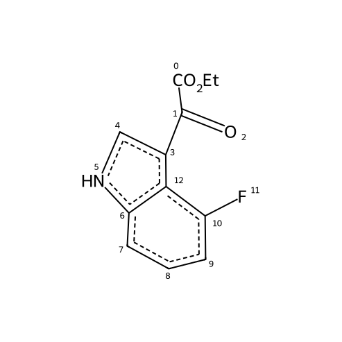 CCOC(=O)C(=O)c1c[nH]c2cccc(F)c12